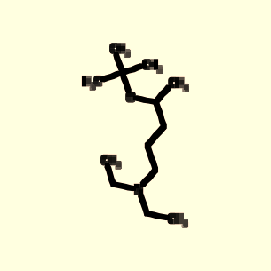 CCN(CC)CCCC(C)OC(C)(C)C